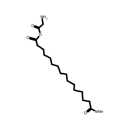 CNC(=O)CCCCCCCCCCCCCCC(=O)OC(=O)CN